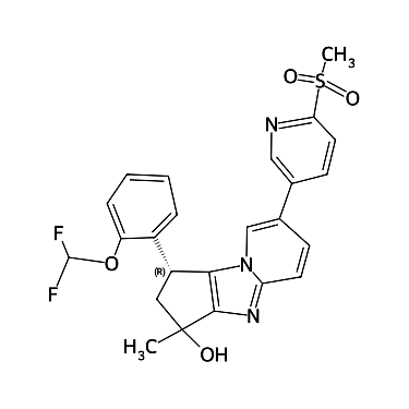 CC1(O)C[C@H](c2ccccc2OC(F)F)c2c1nc1ccc(-c3ccc(S(C)(=O)=O)nc3)cn21